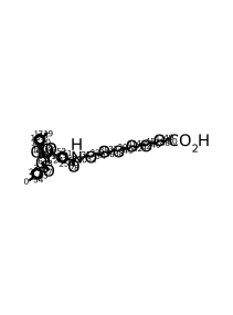 Cc1ccc(S(=O)(=O)CC(CS(=O)(=O)c2cccc(C)c2)C(=O)c2ccc(C(=O)NCCOCCOCCOCCOCCOCCOCCC(=O)O)cc2)cc1